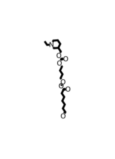 CCN1CCCC(COC(=O)OCCCCOOC(=O)CCCCCC=O)C1